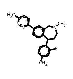 Cc1ccc(C2CCN(C)Cc3cc(-c4ccc(C)nn4)ccc32)c(F)c1